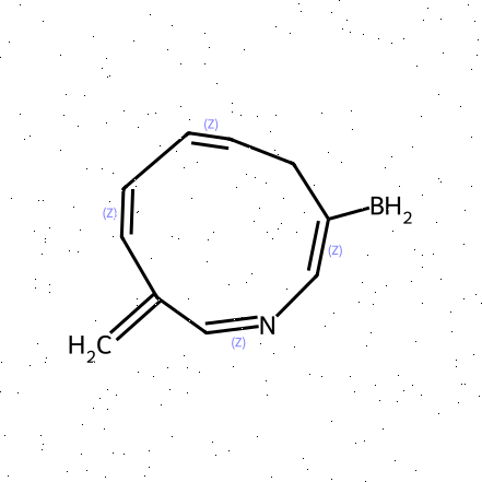 B/C1=C/N=C\C(=C)/C=C\C=C/C1